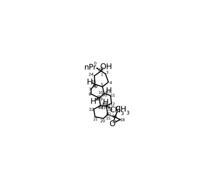 CCC[C@@]1(O)CCC2[C@H](CC[C@@H]3[C@@H]2CC[C@]2(C)[C@@H](C4(C)CO4)CCC[C@@H]32)C1